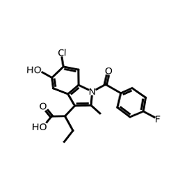 CCC(C(=O)O)c1c(C)n(C(=O)c2ccc(F)cc2)c2cc(Cl)c(O)cc12